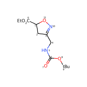 CCOC(=O)C1CC(CNC(=O)OC(C)(C)C)=NO1